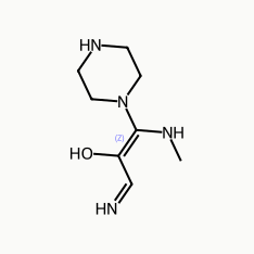 CN/C(=C(/O)C=N)N1CCNCC1